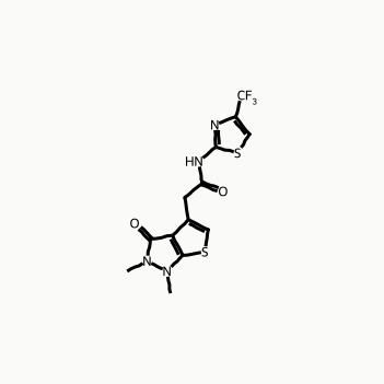 Cn1c(=O)c2c(CC(=O)Nc3nc(C(F)(F)F)cs3)csc2n1C